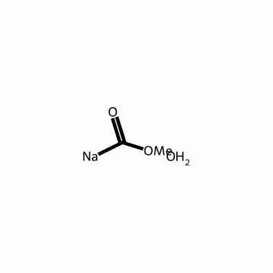 CO[C](=O)[Na].O